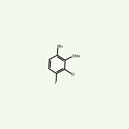 CCc1c(F)ccc(C(C)(C)C)c1OC